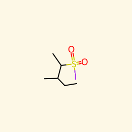 CCC(C)C(C)S(=O)(=O)I